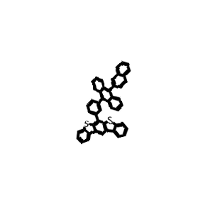 c1cc(-c2c3ccccc3c(-c3ccc4ccccc4c3)c3ccccc23)cc(-c2c3sc4ccccc4c3cc3c2sc2ccccc23)c1